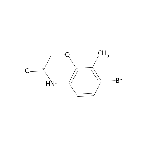 Cc1c(Br)ccc2c1OCC(=O)N2